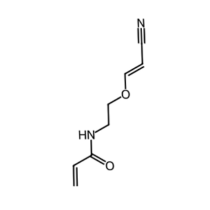 C=CC(=O)NCCO/C=C/C#N